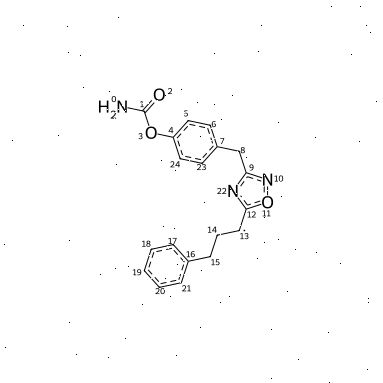 NC(=O)Oc1ccc(Cc2noc([CH]CCc3ccccc3)n2)cc1